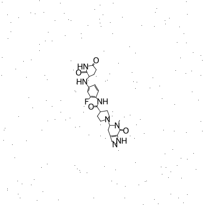 CN1C(=O)c2[nH]ncc2CC1N1CCC(C(=O)Nc2ccc(NC3CCC(=O)NC3=O)cc2F)CC1